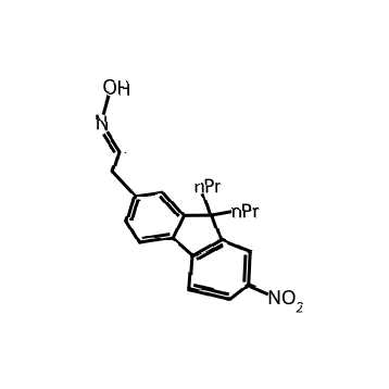 CCCC1(CCC)c2cc(C[C]=NO)ccc2-c2ccc([N+](=O)[O-])cc21